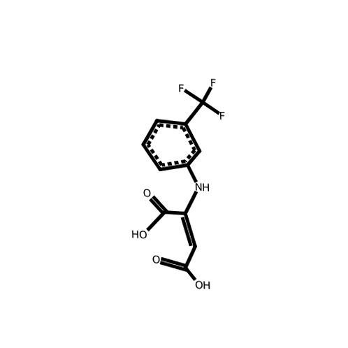 O=C(O)/C=C(/Nc1cccc(C(F)(F)F)c1)C(=O)O